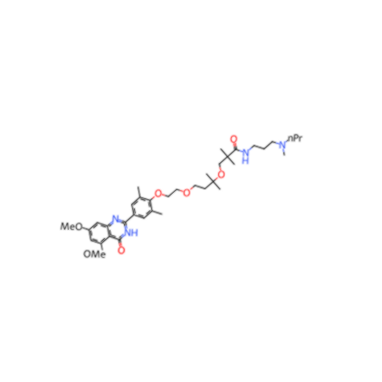 CCCN(C)CCCNC(=O)C(C)(C)COC(C)(C)CCOCCOc1c(C)cc(-c2nc3cc(OC)cc(OC)c3c(=O)[nH]2)cc1C